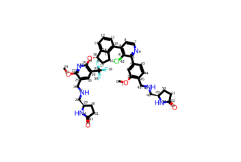 COc1cc(-c2nccc(-c3cccc4c3CC[C@@H]4Oc3nc(OC)c(CNC[C@H]4CCC(=O)N4)cc3C(F)(F)F)c2Cl)ccc1CNC[C@H]1CCC(=O)N1